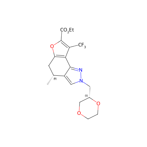 CCOC(=O)c1oc2c(c1C(F)(F)F)-c1nn(C[C@H]3COCCO3)cc1[C@H](C)C2